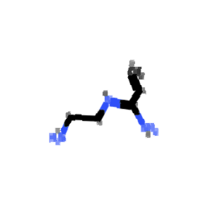 C=CC(N)=NCCN